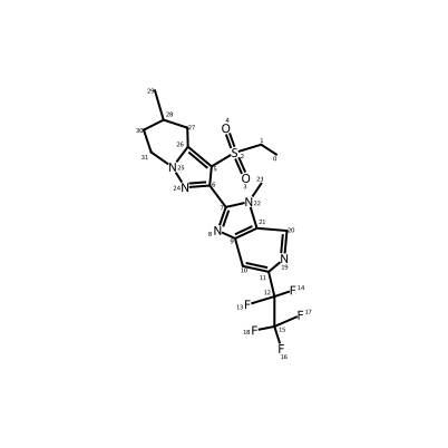 CCS(=O)(=O)c1c(-c2nc3cc(C(F)(F)C(F)(F)F)ncc3n2C)nn2c1CC(C)CC2